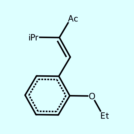 CCOc1ccccc1/C=C(/C(C)=O)C(C)C